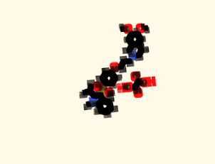 COc1cc2c(cc1OC)CN(CCCOc1ccc(S(=O)(=O)c3c(C(C)C)n(C)c4ccccc34)cc1)CC2.O=C(O)C(=O)O